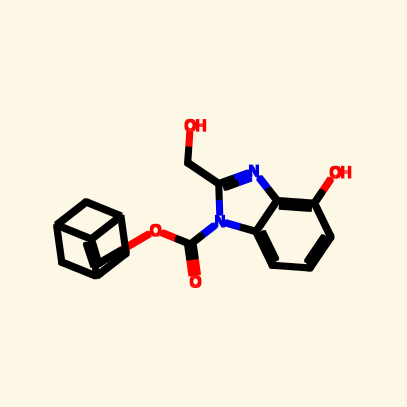 O=C(OC1=C2C3CC(C1)CC2C3)n1c(CO)nc2c(O)cccc21